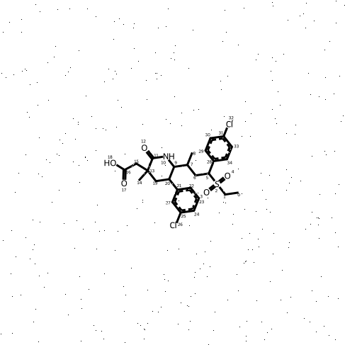 CCS(=O)(=O)C(CC(C)C1NC(=O)C(C)(CC(=O)O)CC1c1cccc(Cl)c1)c1ccc(Cl)cc1